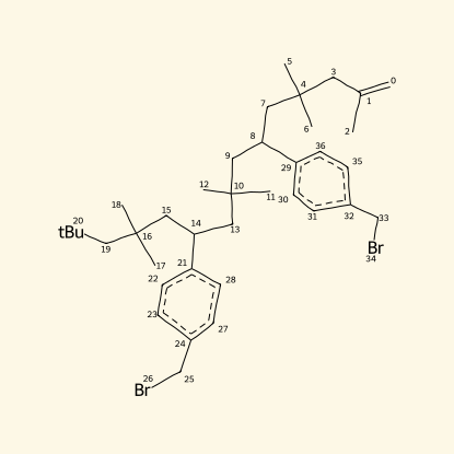 C=C(C)CC(C)(C)CC(CC(C)(C)CC(CC(C)(C)CC(C)(C)C)c1ccc(CBr)cc1)c1ccc(CBr)cc1